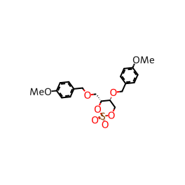 COc1ccc(COC[C@H]2OS(=O)(=O)OC[C@H]2OCc2ccc(OC)cc2)cc1